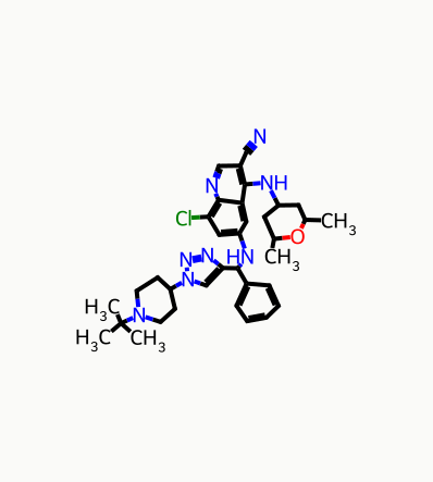 CC1CC(Nc2c(C#N)cnc3c(Cl)cc(NC(c4ccccc4)c4cn(C5CCN(C(C)(C)C)CC5)nn4)cc23)CC(C)O1